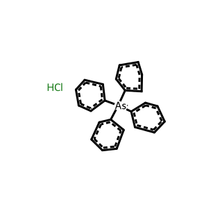 Cl.c1ccc([As](c2ccccc2)(c2ccccc2)c2ccccc2)cc1